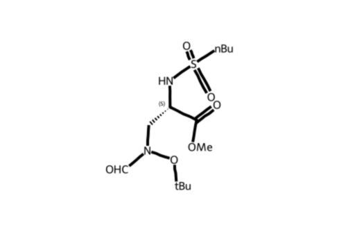 CCCCS(=O)(=O)N[C@@H](CN(C=O)OC(C)(C)C)C(=O)OC